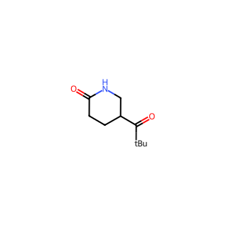 CC(C)(C)C(=O)C1CCC(=O)NC1